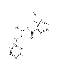 CC(C)Cc1ccccc1C(=O)OC(CCc1ccccc1)C(C)C